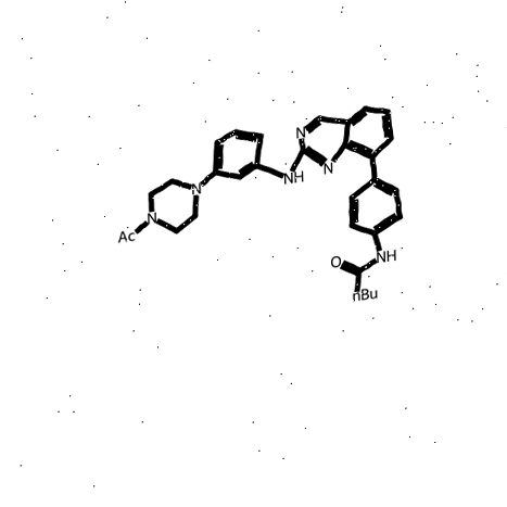 CCCCC(=O)Nc1ccc(-c2cccc3cnc(Nc4cccc(N5CCN(C(C)=O)CC5)c4)nc23)cc1